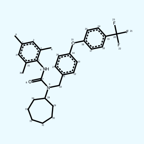 Cc1cc(C)c(NC(=O)N(Cc2ccc(Oc3ccc(C(F)(F)F)cc3)cc2)C2CCCCCC2)c(C)c1